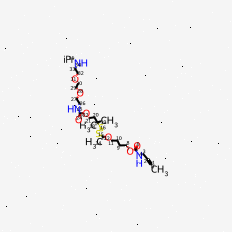 CC#CCNC(=O)OCCCCOC(C)SSC(C)(C)CCOC(=O)NCCOCCOCCNC(C)C